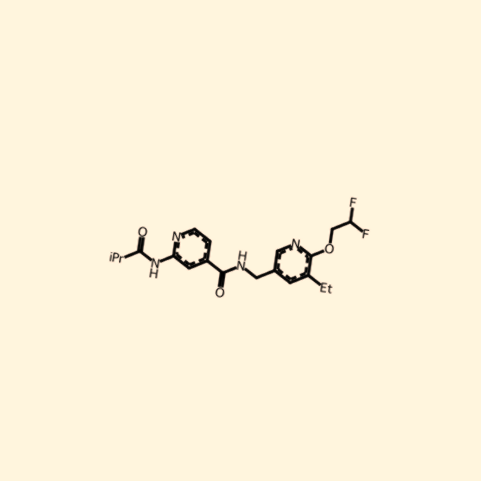 CCc1cc(CNC(=O)c2ccnc(NC(=O)C(C)C)c2)cnc1OCC(F)F